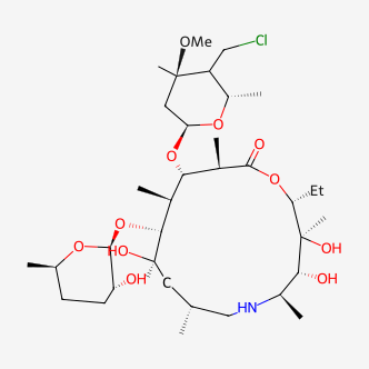 CC[C@H]1OC(=O)[C@H](C)[C@@H](O[C@H]2C[C@@](C)(OC)C(CCl)[C@H](C)O2)[C@H](C)[C@@H](O[C@@H]2O[C@H](C)CC[C@H]2O)[C@](C)(O)C[C@@H](C)CN[C@H](C)[C@@H](O)[C@]1(C)O